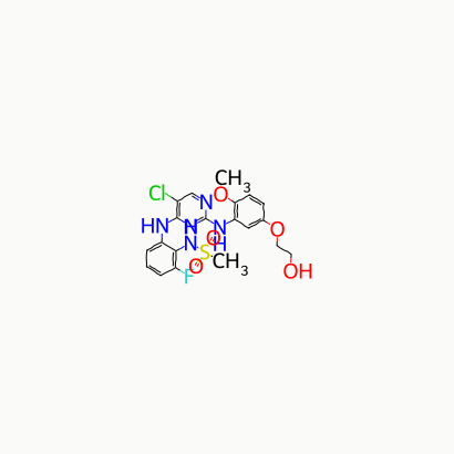 COc1ccc(OCCO)cc1Nc1ncc(Cl)c(Nc2cccc(F)c2NS(C)(=O)=O)n1